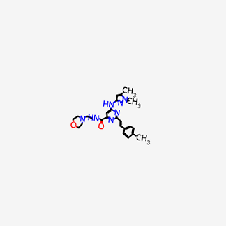 Cc1ccc(/C=C/c2nc(Nc3cc(C)n(C)n3)cc(C(=O)NCCN3CCOCC3)n2)cc1